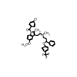 COc1ccc2c(c1)c(CCN(C)CCC(Oc1ccc(C(F)(F)F)cc1)c1ccccc1)c(C)n2C(=O)c1ccc(Cl)cc1